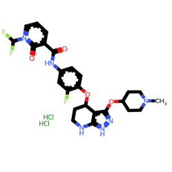 CN1CCC(Oc2n[nH]c3c2C(Oc2ccc(NC(=O)c4cccn(C(F)F)c4=O)cc2F)CCN3)CC1.Cl.Cl